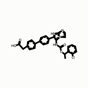 CC(OC(=O)Nc1c(-c2ccc(-c3ccc(CC(=O)O)cc3)cc2)[nH]c2nccn12)c1ccccc1Cl